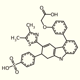 Cc1nc(C2=CC3=C(CC2c2ccc(S(=O)(=O)O)cc2)[N]c2cccc(-c4cccc(OCC(=O)O)c4)c23)sc1C